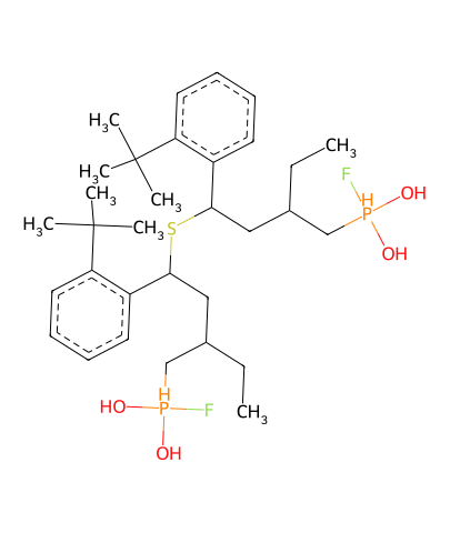 CCC(CC(SC(CC(CC)C[PH](O)(O)F)c1ccccc1C(C)(C)C)c1ccccc1C(C)(C)C)C[PH](O)(O)F